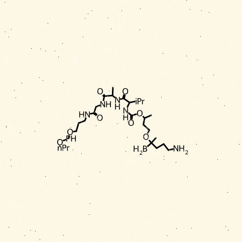 BC(C)(CCCN)OCCC(C)OC(=O)NC(C(=O)NC(C)C(=O)NCC(=O)NCCCOPOCCC)C(C)C